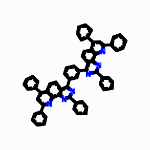 c1ccc(-c2cc(-c3ccccc3)c3ccc4c(-c5cccc(-c6nc(-c7ccccc7)nc7c6ccc6c(-c8ccccc8)cc(-c8ccccc8)nc67)c5)nc(-c5ccccc5)nc4c3n2)cc1